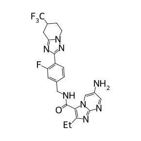 CCc1nc2ncc(N)cn2c1C(=O)NCc1ccc(-c2nc3n(n2)CCC(C(F)(F)F)C3)c(F)c1